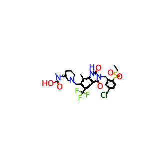 CCS(=O)(=O)c1ccc(Cl)cc1Cn1c(=O)[nH]c2c(C)c(CN3CCC[C@H](N(C)C(=O)O)C3)c(C(F)(F)F)cc2c1=O